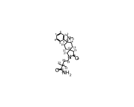 CN(C)[C@]1(c2ccccc2)CC[C@@]2(CC1)CC(=O)N(CCC(C)(C)C(N)=O)C2